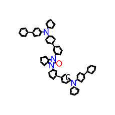 O=c1n(-c2cccc(-c3ccc(N(c4ccccc4)c4ccc(-c5ccccc5)cc4)cc3)c2)c2ccccc2n1-c1cccc(-c2ccc(N(c3ccccc3)c3ccc(-c4ccccc4)cc3)cc2)c1